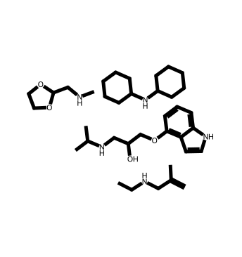 C1CCC(NC2CCCCC2)CC1.C=C(C)CNCC.CC(C)NCC(O)COc1cccc2[nH]ccc12.CNCC1OCCO1